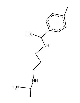 Cc1ccc(C(NCCCNC(C)N)C(F)(F)F)cc1